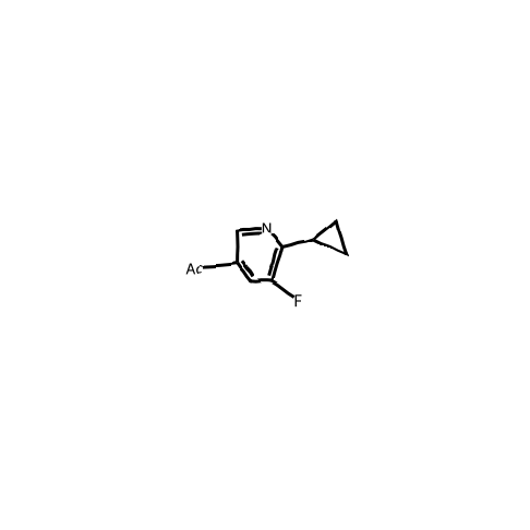 CC(=O)c1cnc(C2CC2)c(F)c1